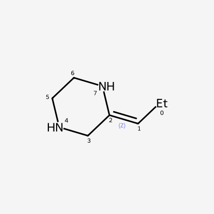 CC/C=C1/CNCCN1